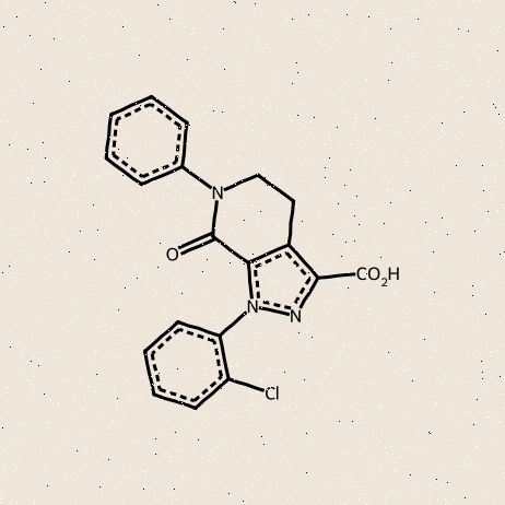 O=C(O)c1nn(-c2ccccc2Cl)c2c1CCN(c1ccccc1)C2=O